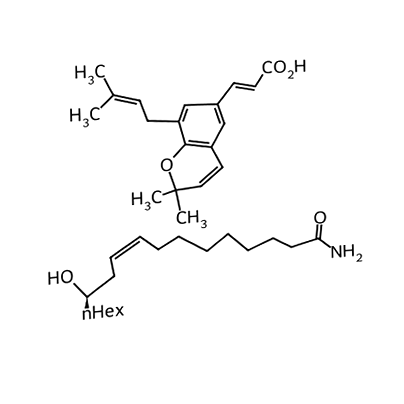 CC(C)=CCc1cc(C=CC(=O)O)cc2c1OC(C)(C)C=C2.CCCCCC[C@@H](O)C/C=C\CCCCCCCC(N)=O